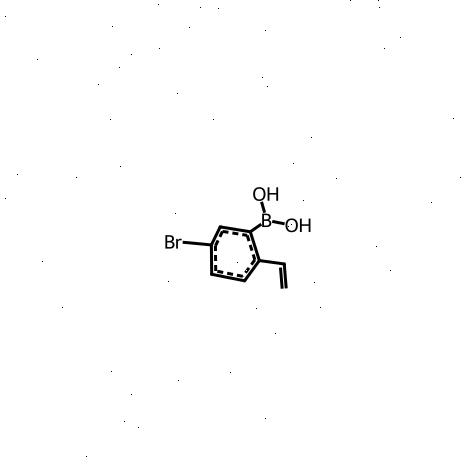 C=Cc1ccc(Br)cc1B(O)O